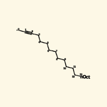 [CH2]C#CCCCCCCCCCCCCCCCCCC